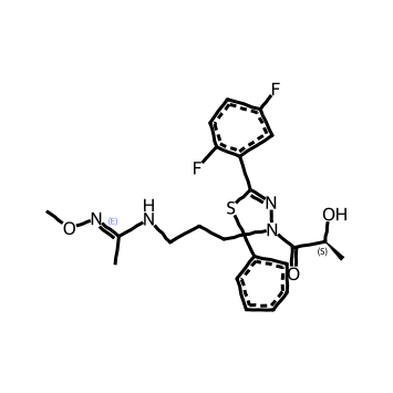 CO/N=C(\C)NCCCC1(c2ccccc2)SC(c2cc(F)ccc2F)=NN1C(=O)[C@H](C)O